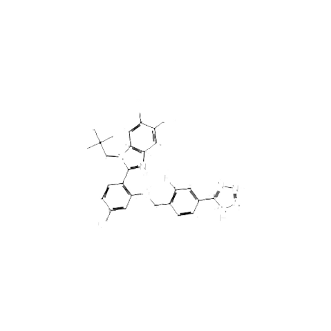 CC(C)(C)Cn1c(-c2ccc(Cl)cc2OCc2ccc(-c3nnn[nH]3)cc2F)nc2cc(F)c(F)cc21